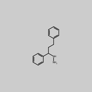 NNC(CCc1ccccc1)c1ccccc1